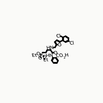 CCOP(=O)(CCCC(NCc1ccc(-c2cc(Cl)ccc2Cl)o1)C(=O)Nc1ccccc1C(=O)O)OCC